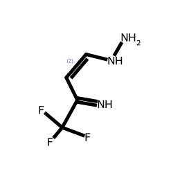 N=C(/C=C\NN)C(F)(F)F